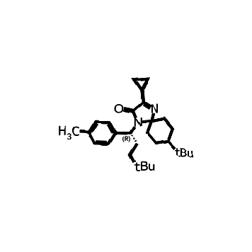 Cc1ccc([C@@H](CCC(C)(C)C)N2C(=O)C(C3CC3)=NC23CCC(C(C)(C)C)CC3)cc1